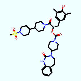 Cc1cc(C[C@@H](OC(=O)N2CCC(N3CCc4ccccc4NC3=O)CC2)C(=O)N2CCC(C3CCN(S(C)(=O)=O)CC3)CC2)cc(C)c1O